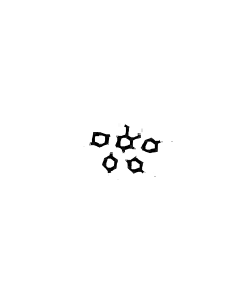 CC(C)(C)c1ccc(Sc2c(CBr)c(CBr)c(Sc3ccc(C(C)(C)C)cc3)c(Sc3ccc(C(C)(C)C)cc3)c2Sc2ccc(C(C)(C)C)cc2)cc1